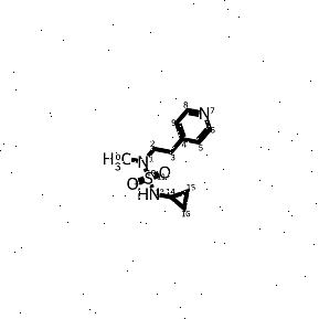 CN(CCc1ccncc1)S(=O)(=O)NC1CC1